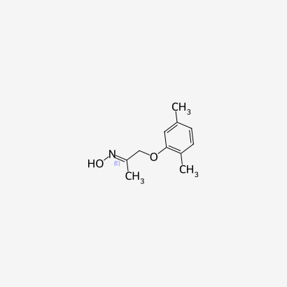 C/C(COc1cc(C)ccc1C)=N\O